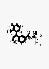 NC(N)=NC(=O)c1ccc2c(c1)C(c1cccc(Cl)c1Cl)=CCO2